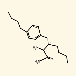 CCCCc1ccc(C[C@H](CCCC)C(N)C(N)=O)cc1